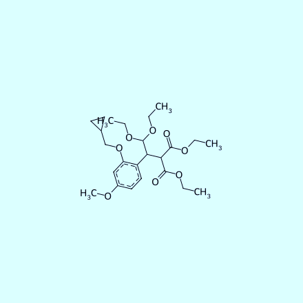 CCOC(=O)C(C(=O)OCC)C(c1ccc(OC)cc1OCC1CC1)C(OCC)OCC